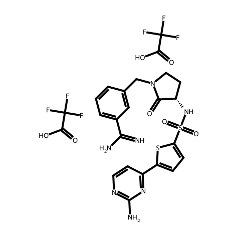 N=C(N)c1cccc(CN2CC[C@H](NS(=O)(=O)c3ccc(-c4ccnc(N)n4)s3)C2=O)c1.O=C(O)C(F)(F)F.O=C(O)C(F)(F)F